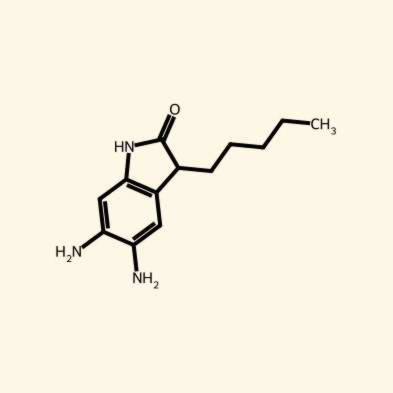 CCCCCC1C(=O)Nc2cc(N)c(N)cc21